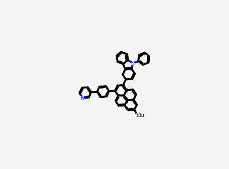 CC(C)(C)c1cc2ccc3c(-c4ccc(-c5cccnc5)cc4)cc(C4C=Cc5c(c6ccccc6n5-c5ccccc5)C4)c4ccc(c1)c2c34